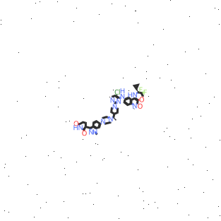 C[C@H](C1CCN(c2ncc(Cl)c(Nc3ccc4c(c3)c3c(c(=O)n4C)OCC(F)(F)[C@H](C4CC4)N3)n2)CC1)N1CCN(c2ccc3c(C4CCC(=O)NC4=O)nn(C)c3c2)CC1